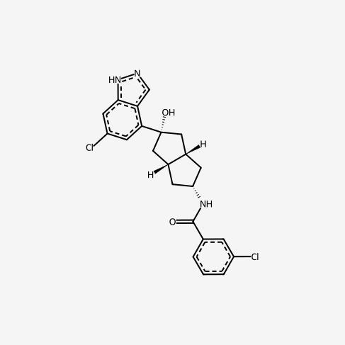 O=C(N[C@@H]1C[C@@H]2C[C@@](O)(c3cc(Cl)cc4[nH]ncc34)C[C@@H]2C1)c1cccc(Cl)c1